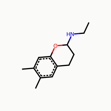 CCNC1CCc2cc(C)c(C)cc2O1